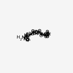 CCCCc1nc2c(N)nc3ccccc3c2n1CCCCNC(=O)[C@H]1CC[C@H](C(=O)NCC(=O)NCC(=O)ON2C(=O)CCC2=O)CC1